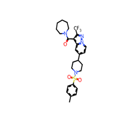 Cc1ccc(S(=O)(=O)N2CCC(c3ccn4nc(C(F)(F)F)c(C(=O)N5CCCCCC5)c4c3)CC2)cc1